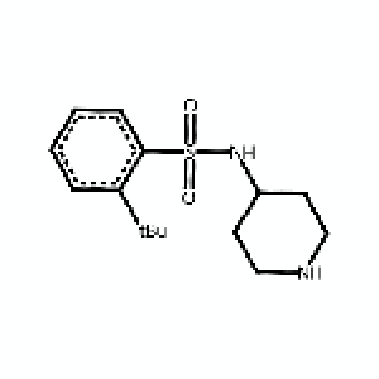 CC(C)(C)c1ccccc1S(=O)(=O)NC1CCNCC1